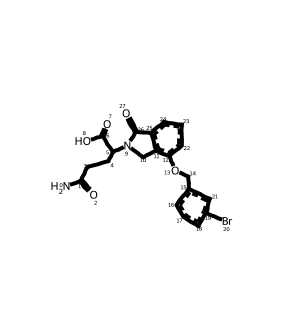 NC(=O)CCC(C(=O)O)N1Cc2c(OCc3cccc(Br)c3)cccc2C1=O